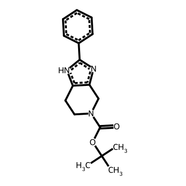 CC(C)(C)OC(=O)N1CCc2[nH]c(-c3ccccc3)nc2C1